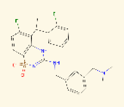 CC(c1ccccc1F)c1c(F)ccc2c1NC(NCc1cccc(CN(C)C)c1)=NS2(=O)=O